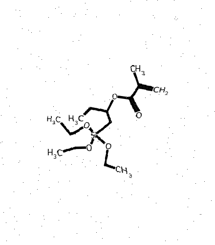 C=C(C)C(=O)OC(CC)C[Si](OCC)(OCC)OCC